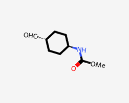 COC(=O)N[C@H]1CC[C@H](C=O)CC1